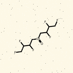 [O]=[Sn]([CH2]C(F)C(F)CF)[CH2]C(F)C(F)CF